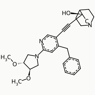 CO[C@@H]1CN(c2cc(Cc3ccccc3)c(C#C[C@@]3(O)CN4CCC3CC4)cn2)C[C@H]1OC